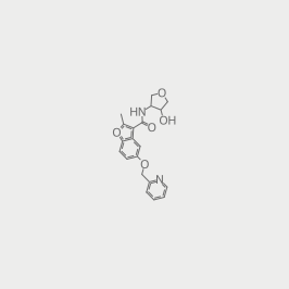 Cc1oc2ccc(OCc3ccccn3)cc2c1C(=O)NC1COCC1O